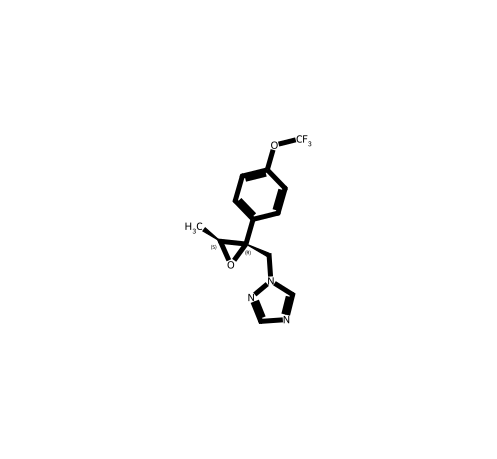 C[C@@H]1O[C@@]1(Cn1cncn1)c1ccc(OC(F)(F)F)cc1